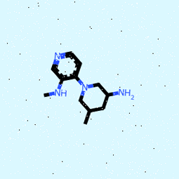 CNc1cnccc1N1CC(C)CC(N)C1